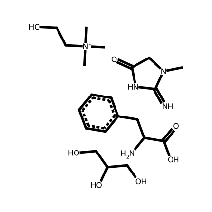 CN1CC(=O)NC1=N.C[N+](C)(C)CCO.NC(Cc1ccccc1)C(=O)O.OCC(O)CO